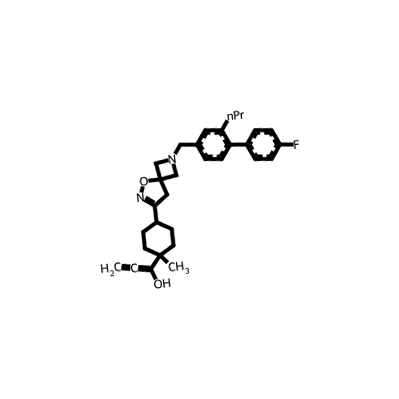 C=C=C(O)C1(C)CCC(C2=NOC3(C2)CN(Cc2ccc(-c4ccc(F)cc4)c(CCC)c2)C3)CC1